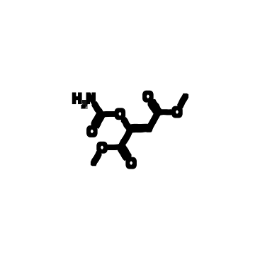 COC(=O)C=C(OC(N)=O)C(=O)OC